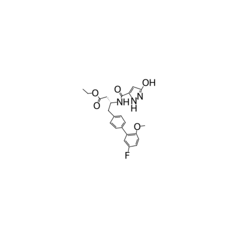 CCOC(=O)C[C@@H](Cc1ccc(-c2cc(F)ccc2OC)cc1)NC(=O)c1cc(O)n[nH]1